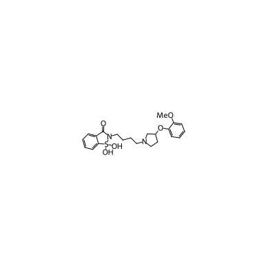 COc1ccccc1OC1CCN(CCCCN2C(=O)c3ccccc3S2(O)O)C1